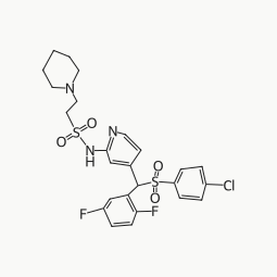 O=S(=O)(CCN1CCCCC1)Nc1cc(C(c2cc(F)ccc2F)S(=O)(=O)c2ccc(Cl)cc2)ccn1